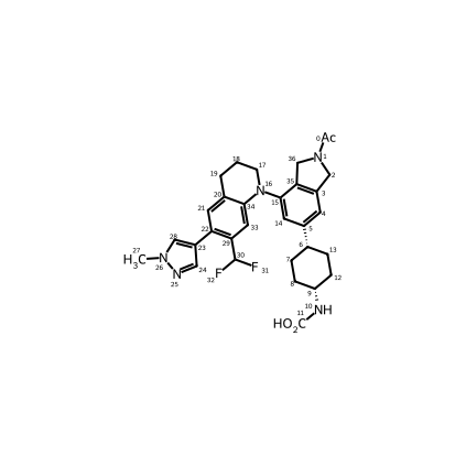 CC(=O)N1Cc2cc([C@H]3CC[C@@H](NC(=O)O)CC3)cc(N3CCCc4cc(-c5cnn(C)c5)c(C(F)F)cc43)c2C1